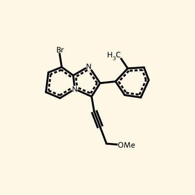 COCC#Cc1c(-c2ccccc2C)nc2c(Br)cccn12